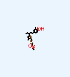 CCOC(=O)CSCc1sc(C(CC)CCc2ccc(O)c(C)c2)cc1C